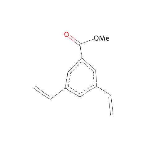 C=Cc1cc(C=C)cc(C(=O)OC)c1